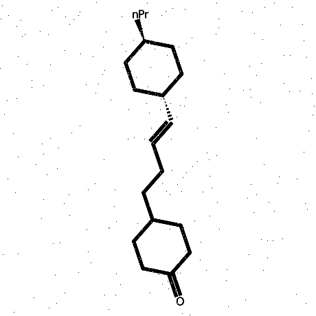 CCC[C@H]1CC[C@H](C=CCCC2CCC(=O)CC2)CC1